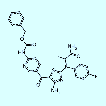 CC(C(N)=O)N(c1ccc(F)cc1)c1nc(N)c(C(=O)c2ccc(NC(=O)OCc3ccccc3)nc2)s1